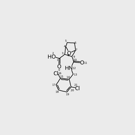 O=C(O)C1C2CCC(O2)C1C(=O)NCc1c(Cl)cccc1Cl